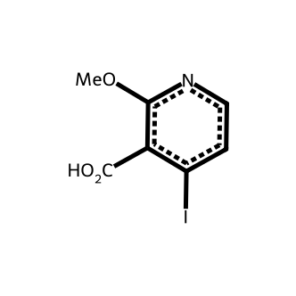 COc1nccc(I)c1C(=O)O